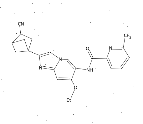 CCOc1cc2nc(C34CC(C#N)C(C3)C4)cn2cc1NC(=O)c1cccc(C(F)(F)F)n1